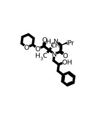 CC(C)[C@H](N)C(=O)N(CC(O)Cc1ccccc1)C(C)(C)C(=O)OC1CCCCO1